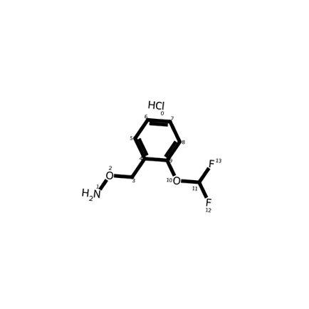 Cl.NOCc1ccccc1OC(F)F